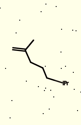 C=C(C)CCCC(C)C